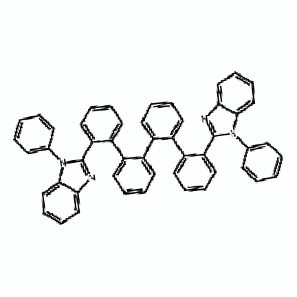 c1ccc(-n2c(-c3ccccc3-c3ccccc3-c3ccccc3-c3ccccc3-c3nc4ccccc4n3-c3ccccc3)nc3ccccc32)cc1